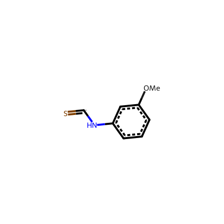 COc1cccc(N[C]=S)c1